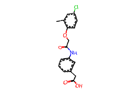 Cc1cc(Cl)ccc1OCC(=O)Nc1cccc(CC(=O)O)c1